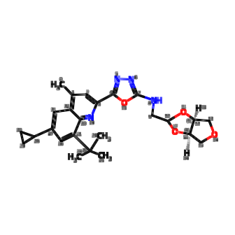 Cc1cc(-c2nnc(NCC3O[C@H]4COC[C@H]4O3)o2)nc2c(C(C)(C)C)cc(C3CC3)cc12